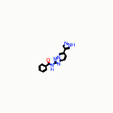 O=C(Nc1nc2ccc(-c3cn[nH]c3)cn2n1)c1ccccc1